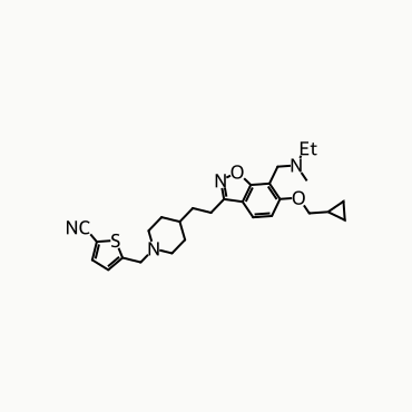 CCN(C)Cc1c(OCC2CC2)ccc2c(CCC3CCN(Cc4ccc(C#N)s4)CC3)noc12